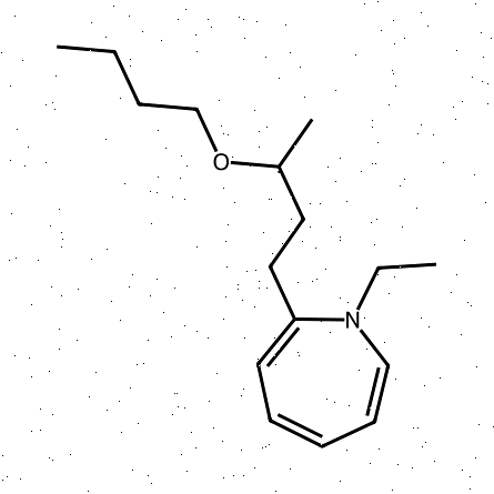 CCCCO[C](C)CCC1=CC=CC=CN1CC